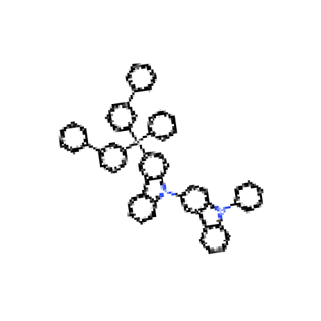 c1ccc(-c2cccc([Si](c3ccccc3)(c3cccc(-c4ccccc4)c3)c3ccc4c(c3)c3ccccc3n4-c3ccc4c(c3)c3ccccc3n4-c3ccccc3)c2)cc1